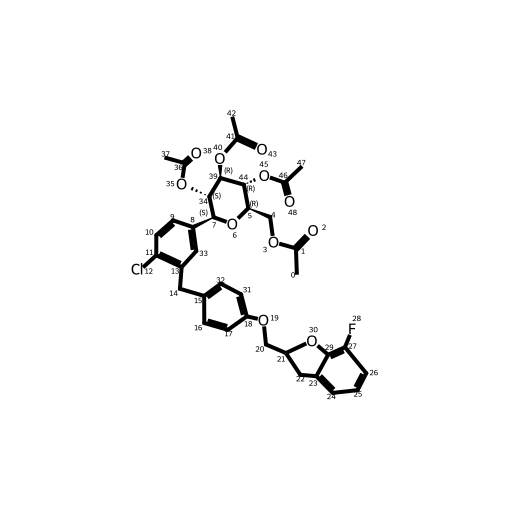 CC(=O)OC[C@H]1O[C@@H](c2ccc(Cl)c(Cc3ccc(OCC4Cc5cccc(F)c5O4)cc3)c2)[C@H](OC(C)=O)[C@@H](OC(C)=O)[C@@H]1OC(C)=O